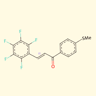 CSc1ccc(C(=O)/C=C/c2c(F)c(F)c(F)c(F)c2F)cc1